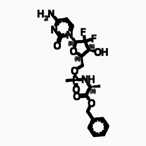 C[C@H](NP(C)(=O)OC[C@H]1O[C@@H](n2ccc(N)nc2=O)C(F)(F)[C@H]1O)C(=O)OCc1ccccc1